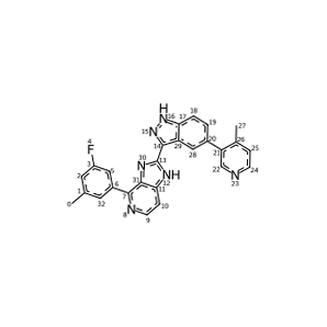 Cc1cc(F)cc(-c2nccc3[nH]c(-c4n[nH]c5ccc(-c6cnccc6C)cc45)nc23)c1